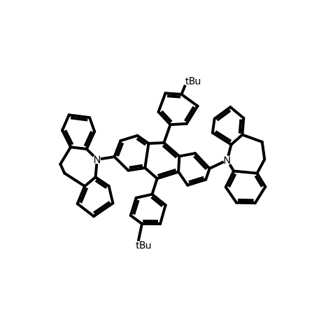 CC(C)(C)c1ccc(-c2c3ccc(N4c5ccccc5CCc5ccccc54)cc3c(-c3ccc(C(C)(C)C)cc3)c3ccc(N4c5ccccc5CCc5ccccc54)cc23)cc1